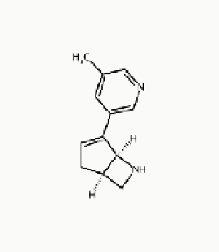 Cc1cncc(C2=CC[C@@H]3CN[C@H]23)c1